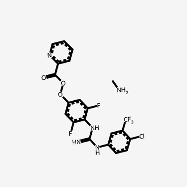 CN.N=C(Nc1ccc(Cl)c(C(F)(F)F)c1)Nc1c(F)cc(OOC(=O)c2ccccn2)cc1F